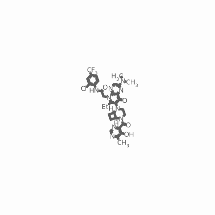 CCc1c(N2CCN(C(=O)c3ncnc(C)c3O)[C@H]3CC[C@@H]32)c(=O)c2nc(N(C)C)cnc2n1CC(=O)Nc1ccc(C(F)(F)F)cc1Cl